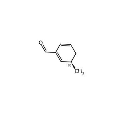 C[C@H]1C=C(C=O)C=CC1